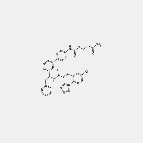 NC(=O)CCOC(=O)Nc1ccc(-c2cnnc(C(Cc3ccccc3)NC(=O)C=Cc3cc(Cl)ccc3-n3cnnn3)c2)cc1